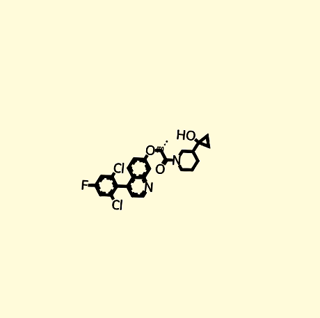 C[C@@H](Oc1ccc2c(-c3c(Cl)cc(F)cc3Cl)ccnc2c1)C(=O)N1CCCC(C2(O)CC2)C1